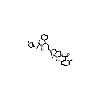 O=C(NC(CCN1CC2CN(C(=O)c3c(F)cccc3Cl)C[C@@H]2C1)c1ccccc1)Oc1ccoc1